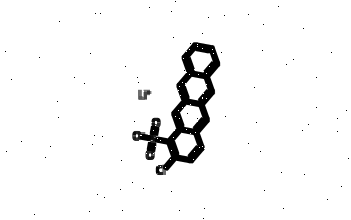 O=S(=O)([O-])c1c(Cl)ccc2cc3cc4ccccc4cc3cc12.[Li+]